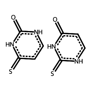 O=c1[nH]ccc(=S)[nH]1.O=c1cc[nH]c(=S)[nH]1